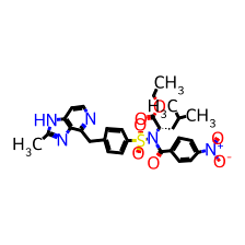 CCOC(=O)[C@H](CC(C)C)N(C(=O)c1ccc([N+](=O)[O-])cc1)S(=O)(=O)c1ccc(Cc2nccc3[nH]c(C)nc23)cc1